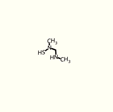 CNCN(C)S